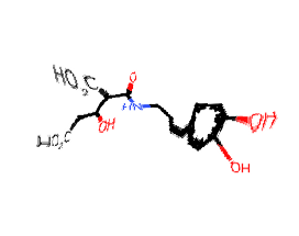 O=C(O)CC(O)C(C(=O)O)C(=O)NCCc1ccc(O)c(O)c1